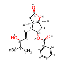 CCCCC(C)[C@@H](O)/C=C/[C@@H]1[C@H]2CC(=O)O[C@H]2C[C@H]1OC(=O)c1ccccc1